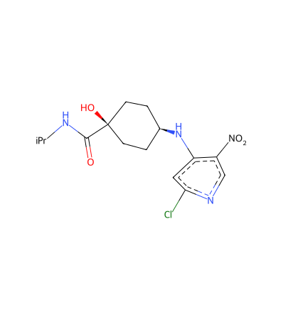 CC(C)NC(=O)[C@]1(O)CC[C@@H](Nc2cc(Cl)ncc2[N+](=O)[O-])CC1